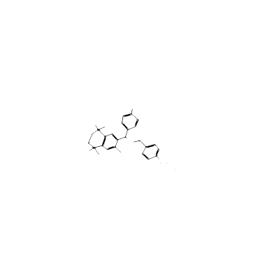 Cc1cc2c(cc1C(OCc1ccc(C(=O)O)cc1)c1ccc(C(F)(F)F)cc1)C(C)(C)CCC2(C)C